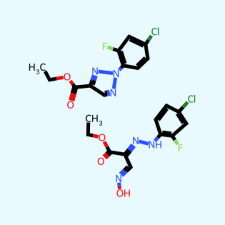 CCOC(=O)C(/C=N/O)=N/Nc1ccc(Cl)cc1F.CCOC(=O)c1cnn(-c2ccc(Cl)cc2F)n1